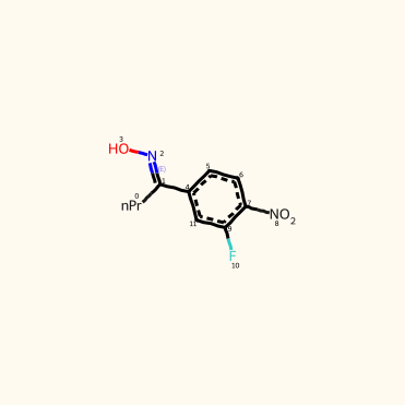 CCC/C(=N\O)c1ccc([N+](=O)[O-])c(F)c1